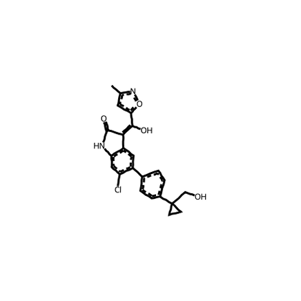 Cc1cc(/C(O)=C2\C(=O)Nc3cc(Cl)c(-c4ccc(C5(CO)CC5)cc4)cc32)on1